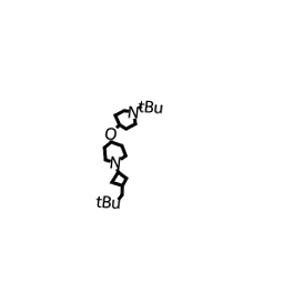 CC(C)(C)CC1CC(N2CCC(OC3CCN(C(C)(C)C)CC3)CC2)C1